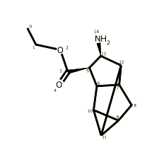 CCOC(=O)[C@@H]1C2C3CC4C2C4C3[C@@H]1N